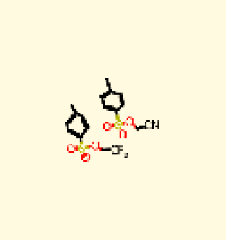 Cc1ccc(S(=O)(=O)OCC#N)cc1.Cc1ccc(S(=O)(=O)OCC(F)(F)F)cc1